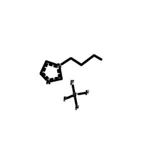 CCCCn1ccnc1.F[B-](F)(F)F